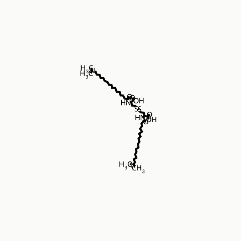 CN(C)CCCCCCCCCCCCCCCCC(=O)NC(CCSSCCC(NC(=O)CCCCCCCCCCCCCCCCN(C)C)C(=O)O)C(=O)O